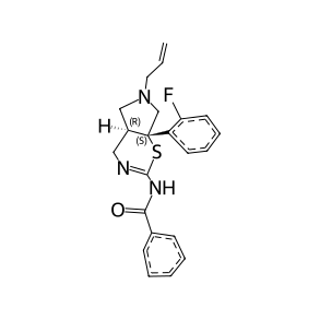 C=CCN1C[C@@H]2CN=C(NC(=O)c3ccccc3)S[C@@]2(c2ccccc2F)C1